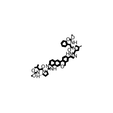 COC(=O)NC(C(=O)N1C[C@@H](C)CC1c1ncc(-c2ccc3c(c2)COc2cc4c(ccc5nc([C@@H]6CC[C@H](C)N6C(=O)[C@@H](NC(=O)OC)C(C)C)[nH]c54)cc2-3)[nH]1)c1ccccc1